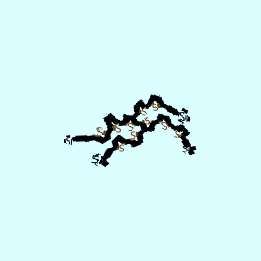 C[Si](C)(C)C#Cc1ccc(-c2ccc(-c3cc(-c4ccc(-c5ccc(C#C[Si](C)(C)C)s5)s4)c(-c4sc(-c5ccc(-c6ccc(C#C[Si](C)(C)C)s6)s5)cc4-c4ccc(-c5ccc(C#C[Si](C)(C)C)s5)s4)s3)s2)s1